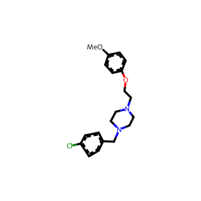 COc1ccc(OCCN2CCN(Cc3ccc(Cl)cc3)CC2)cc1